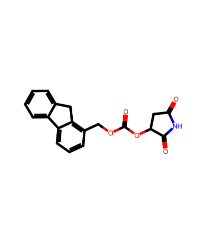 O=C1CC(OC(=O)OCc2cccc3c2Cc2ccccc2-3)C(=O)N1